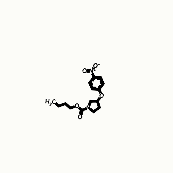 CCCCOC(=O)N1CCC(Oc2ccc([N+](=O)[O-])cc2)C1